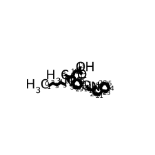 CCCCCCn1c(C)c(CC(=O)O)c2cc(OCc3ccc4ccccc4n3)ccc21